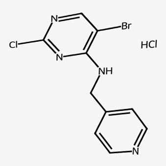 Cl.Clc1ncc(Br)c(NCc2ccncc2)n1